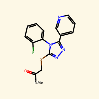 CNC(=O)CSc1nnc(-c2cccnc2)n1-c1ccccc1F